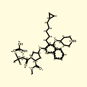 COC(=O)[C@@H]1CC(Oc2nc3ccccc3c(OC3CCNCC3)c2CCCCCC2CC2)CN1C(=O)[C@@H](NC(=O)O)C(C)(C)C